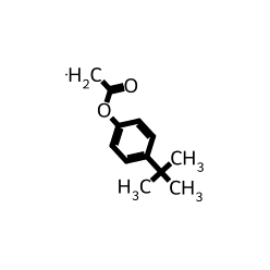 [CH2]C(=O)Oc1ccc(C(C)(C)C)cc1